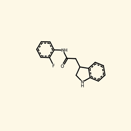 O=C(CC1CNc2ccccc21)Nc1ccccc1F